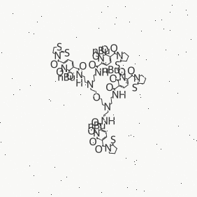 CCCCOn1c(C(=O)NCCN(CCNC(=O)c2ccc(C(=O)N3CCCC3=S)n(OCCCC)c2=O)CCOCCN(CCNC(=O)c2ccc(C(=O)N3CCSC3=S)n(OCCCC)c2=O)CCNC(=O)c2ccc(C(=O)N3CCCC3=S)c(=O)n2OCCCC)ccc(C(=O)N2CCCC2=S)c1=O